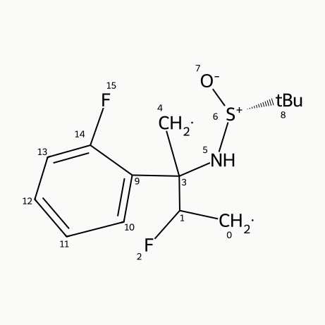 [CH2]C(F)C([CH2])(N[S@+]([O-])C(C)(C)C)c1ccccc1F